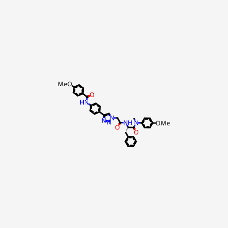 COc1ccc(C(=O)Nc2ccc(-c3cn(CC(=O)N[C@@H](Cc4ccccc4)C(=O)N(C)c4ccc(OC)cc4)nn3)cc2)cc1